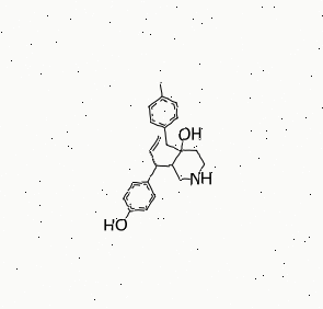 C=CC(c1ccc(O)cc1)C1CNCCC1(O)Cc1ccc(C)cc1